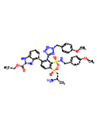 CCOC(=O)c1nc2c(-c3ccc(S(=O)(=O)CC(C)N)c(S(=O)(=O)NCc4ccc(OC)cc4)c3-c3nnn(Cc4ccc(OC)cc4)n3)cccc2[nH]1